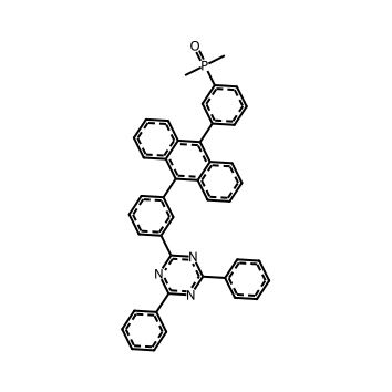 CP(C)(=O)c1cccc(-c2c3ccccc3c(-c3cccc(-c4nc(-c5ccccc5)nc(-c5ccccc5)n4)c3)c3ccccc23)c1